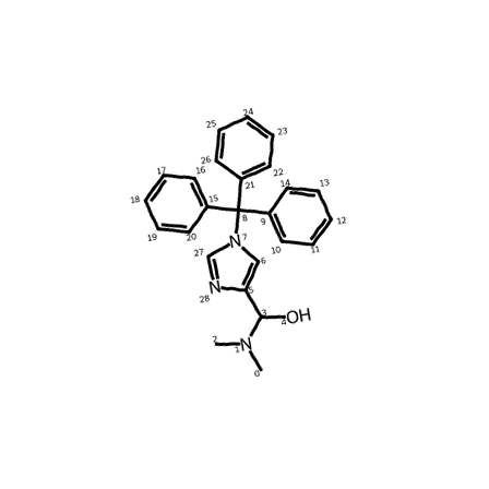 CN(C)C(O)c1cn(C(c2ccccc2)(c2ccccc2)c2ccccc2)cn1